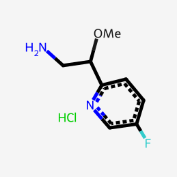 COC(CN)c1ccc(F)cn1.Cl